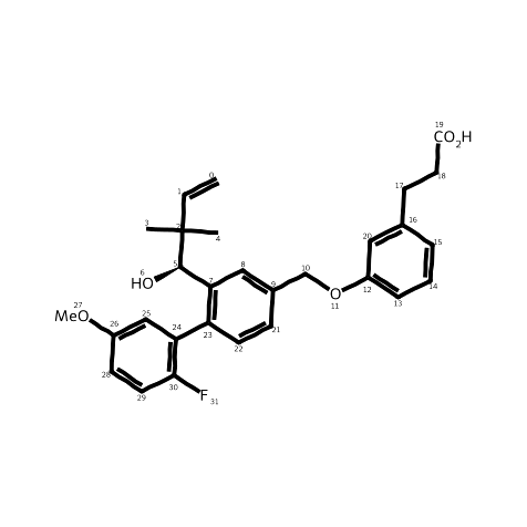 C=CC(C)(C)[C@H](O)c1cc(COc2cccc(CCC(=O)O)c2)ccc1-c1cc(OC)ccc1F